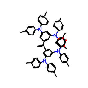 C=C(c1cc(N(c2ccc(C)cc2)c2ccc(C)cc2)cc(N(c2ccc(C)cc2)c2ccc(C)cc2)c1)c1cc(N(c2ccc(C)cc2)c2ccc(C)cc2)cc(N(c2ccc(C)cc2)c2ccc(C)cc2)c1